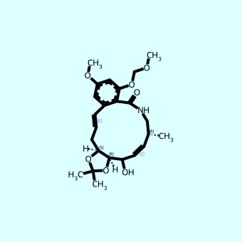 COCOc1cc(OC)cc2c1C(=O)NC[C@H](C)/C=C\C(O)[C@H]1OC(C)(C)O[C@H]1C/C=C/2